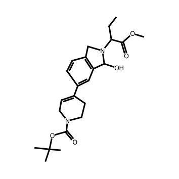 CCC(C(=O)OC)N1Cc2ccc(C3=CCN(C(=O)OC(C)(C)C)CC3)cc2C1O